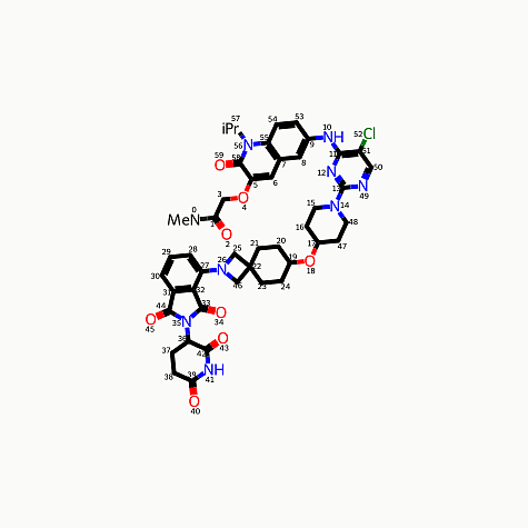 CNC(=O)COc1cc2cc(Nc3nc(N4CCC(OC5CCC6(CC5)CN(c5cccc7c5C(=O)N(C5CCC(=O)NC5=O)C7=O)C6)CC4)ncc3Cl)ccc2n(C(C)C)c1=O